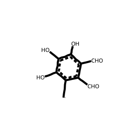 [CH2]c1c(O)c(O)c(O)c(C=O)c1C=O